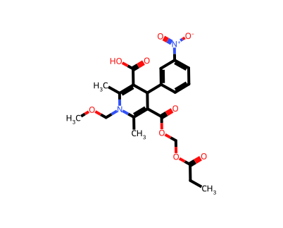 CCC(=O)OCOC(=O)C1=C(C)N(COC)C(C)=C(C(=O)O)C1c1cccc([N+](=O)[O-])c1